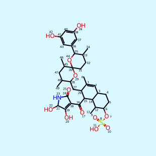 CC1=CC2CCC(OS(=O)(=O)O)C(C)C2C(C(=O)C2=C(O)C(O)NC2=O)C1CC1OC2(CCC(C)C(c3cc(O)cc(O)c3)O2)C(C)CC1C